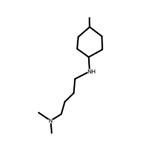 CC1CCC(NCCCCN(C)C)CC1